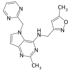 Cc1nc(NCc2cc(C)on2)c2c(ccn2Cc2ncccn2)n1